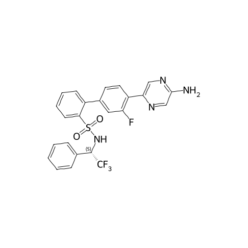 Nc1cnc(-c2ccc(-c3ccccc3S(=O)(=O)N[C@@H](c3ccccc3)C(F)(F)F)cc2F)cn1